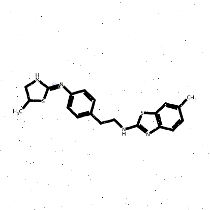 Cc1ccc2nc(NCCc3ccc(/N=C4/NCC(C)S4)cc3)sc2c1